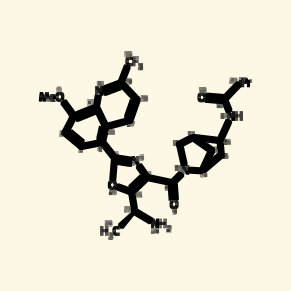 COc1ccc(-c2nc(C(=O)N3CC4CC3CC4NC(=O)C(C)C)c([C@H](C)N)o2)c2ccc(C(F)(F)F)nc12